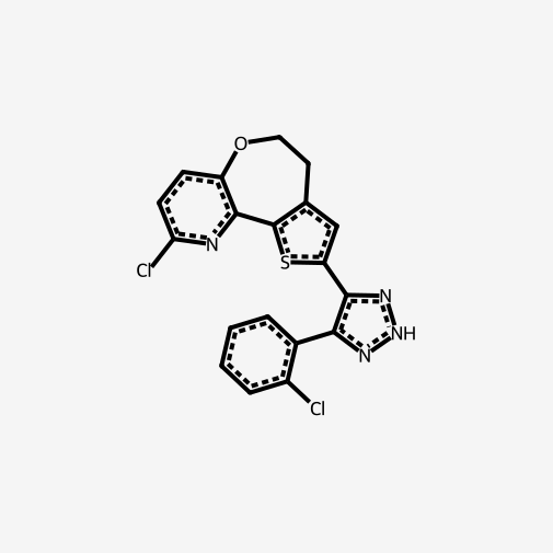 Clc1ccc2c(n1)-c1sc(-c3n[nH]nc3-c3ccccc3Cl)cc1CCO2